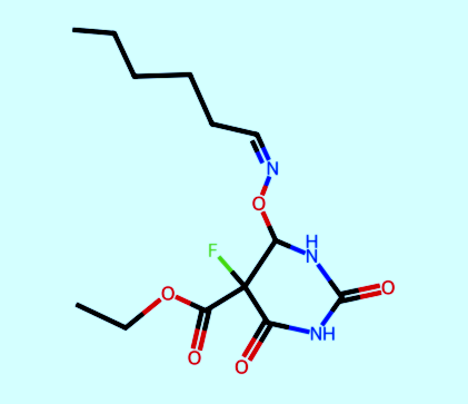 CCCCC/C=N\OC1NC(=O)NC(=O)C1(F)C(=O)OCC